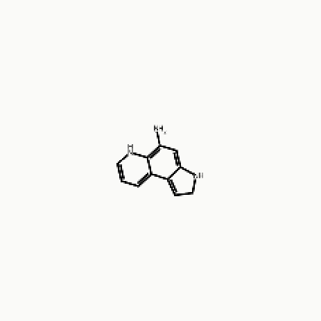 Nc1cc2c(c3c1NC=CC=3)=CCN2